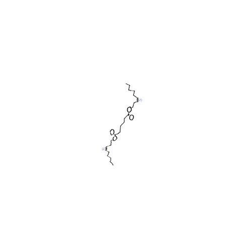 CCCCC/C=C\CCOC(=O)CCCCC(=O)OCC/C=C\CCCCC